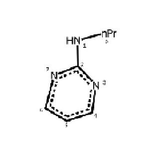 [CH2]CCNc1ncccn1